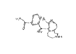 N=C(c1cccc(C(N)=O)c1)c1c(N)ncc2c1CCNC2